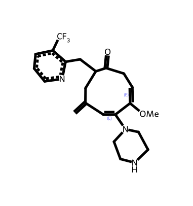 C=C1/C=C(N2CCNCC2)\C(OC)=C/CC(=O)C(Cc2ncccc2C(F)(F)F)C1